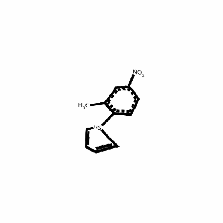 Cc1cc([N+](=O)[O-])ccc1[SH]1C=CC=C1